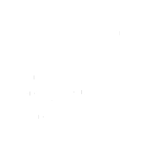 CCCCO[Si](C)(C)C(C)(C)C